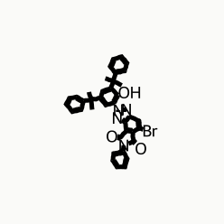 CC(C)(c1ccccc1)c1cc(-n2nc3cc(Br)c4c(c3n2)C(=O)N(c2ccccc2)C4=O)c(O)c(C(C)(C)c2ccccc2)c1